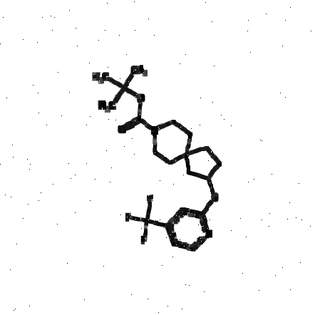 CC(C)(C)OC(=O)N1CCC2(CCC(Oc3cc(C(F)(F)F)ccn3)C2)CC1